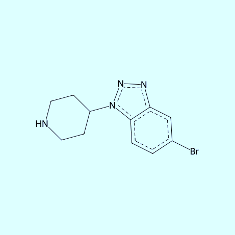 Brc1ccc2c(c1)nnn2C1CCNCC1